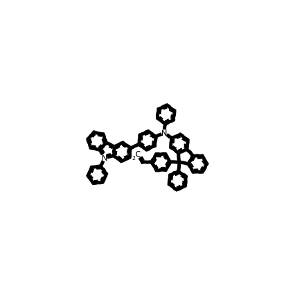 C=Cc1ccc(C2(c3ccccc3)c3ccccc3-c3ccc(N(c4ccccc4)c4ccc(-c5ccc6c(c5)c5ccccc5n6-c5ccccc5)cc4)cc32)cc1